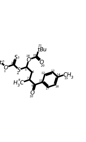 CCOC(=S)SC(CC(C)C(=O)c1ccc(C)cc1)OC(=O)C(C)(C)C